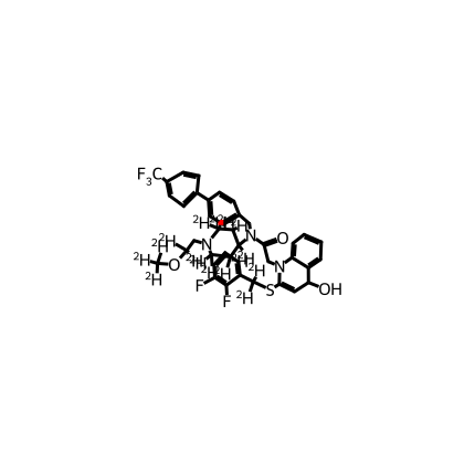 [2H]C([2H])([2H])OC([2H])([2H])CN1C([2H])([2H])C([2H])([2H])C([2H])(N(Cc2ccc(-c3ccc(C(F)(F)F)cc3)cc2)C(=O)CN2C(SC([2H])([2H])c3cccc(F)c3F)=CC(O)c3ccccc32)C([2H])([2H])C1([2H])[2H]